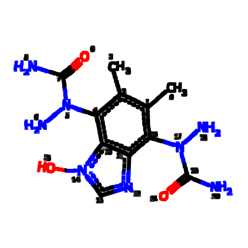 Cc1c(C)c(N(N)C(N)=O)c2c(ncn2O)c1N(N)C(N)=O